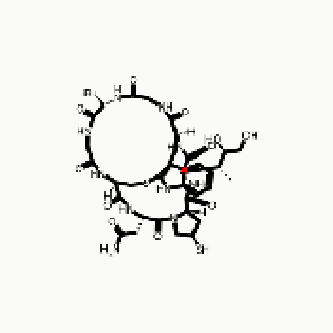 CC[C@H](C)[C@@H]1NC(=O)CNC(=O)[C@@H]2Cc3c([nH]c4ccccc34)SC[C@H](NC(=O)CNC1=O)C(=O)N[C@@H](CC(N)=O)C(=O)N1C[C@H](S)C[C@H]1C(=O)N[C@@H]([C@@H](C)[C@@H](O)CO)C(=O)N2